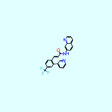 O=C(C=Cc1ccc(C(F)(F)F)cc1-c1cccnc1)Nc1ccc2cccnc2c1